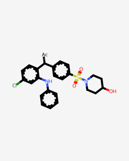 CC(=O)C(c1ccc(S(=O)(=O)N2CCC(O)CC2)cc1)c1ccc(Cl)cc1Nc1ccccc1